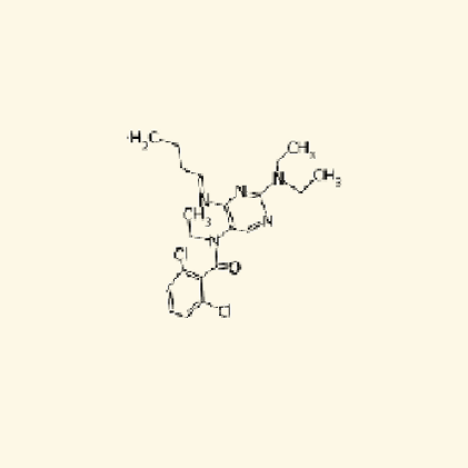 [CH2]CCC=Nc1nc(N(CC)CC)ncc1N(CC)C(=O)c1c(Cl)cccc1Cl